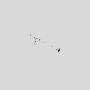 COCCOCC(COC(=O)NCCCCCCCCCCCCOP(=O)(O)OC)OCCOC